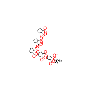 O=C([O-])c1ccccc1C(=O)[O-].O=C([O-])c1ccccc1C(=O)[O-].O=C([O-])c1ccccc1C(=O)[O-].O=C([O-])c1ccccc1C(=O)[O-].O=C([O-])c1ccccc1C(=O)[O-].[V+5].[V+5]